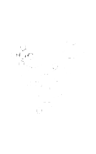 COc1ccc(-c2ccc(-c3ccccc3)[o+]c2-c2ccccc2)cc1.[O-][Cl+3]([O-])([O-])[O-]